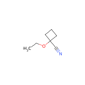 [CH2]COC1(C#N)CCC1